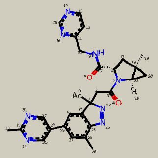 CC(=O)C1(CC(=O)N2[C@H](C(=O)NCc3ccncn3)C[C@@]3(C)C[C@@H]23)N=Nc2c(C)cc(-c3cnc(C)nc3)cc21